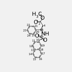 COC(=O)C[C@@H](NS(=O)(=O)c1ccc2ccccc2c1)c1ccccc1